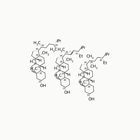 CC(C)[C@H](C)CC[C@@H](C)[C@H]1CC[C@H]2[C@@H]3CC=C4C[C@@H](O)CC[C@]4(C)[C@H]3CC[C@]12C.CC[C@H](/C=C/[C@@H](C)[C@H]1CC[C@H]2[C@@H]3CC=C4C[C@@H](O)CC[C@]4(C)[C@H]3CC[C@]12C)C(C)C.CC[C@H](CC[C@@H](C)[C@H]1CC[C@H]2[C@@H]3CC=C4C[C@@H](O)CC[C@]4(C)[C@H]3CC[C@]12C)C(C)C